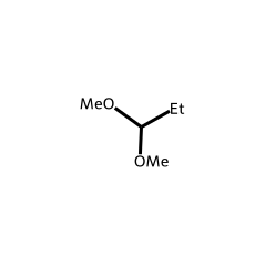 CCC(OC)OC